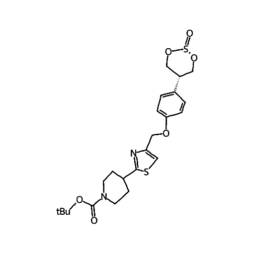 CC(C)(C)OC(=O)N1CCC(c2nc(COc3ccc([C@H]4CO[S@@](=O)OC4)cc3)cs2)CC1